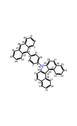 c1ccc2c(-c3ccc(-n4c5ccc6ccccc6c5c5c6ccccc6ccc54)cc3)c3ccccc3cc2c1